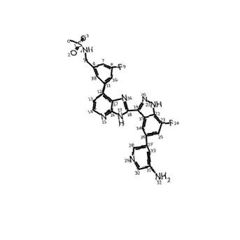 CS(=O)(=O)NCc1cc(F)cc(-c2ccnc3[nH]c(-c4n[nH]c5c(F)cc(-c6cncc(N)c6)cc45)nc23)c1